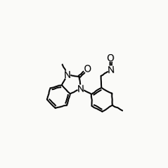 CC1C=CC(n2c(=O)n(C)c3ccccc32)=C(CN=O)C1